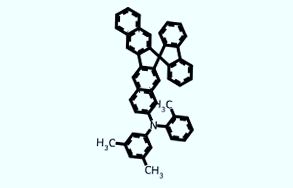 Cc1cc(C)cc(N(c2ccc3cc4c(cc3c2)C2(c3ccccc3-c3ccccc32)c2cc3ccccc3cc2-4)c2ccccc2C)c1